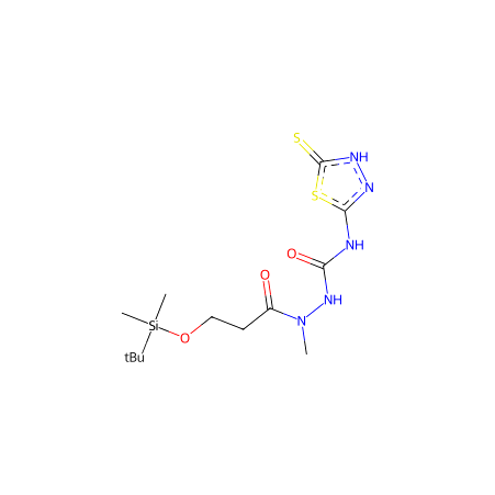 CN(NC(=O)Nc1n[nH]c(=S)s1)C(=O)CCO[Si](C)(C)C(C)(C)C